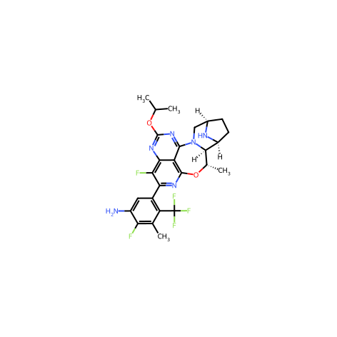 Cc1c(F)c(N)cc(-c2nc3c4c(nc(OC(C)C)nc4c2F)N2C[C@H]4CC[C@H](N4)[C@H]2[C@H](C)O3)c1C(F)(F)F